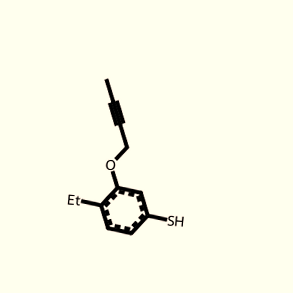 CC#CCOc1cc(S)ccc1CC